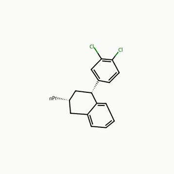 CCC[C@H]1Cc2ccccc2[C@@H](c2ccc(Cl)c(Cl)c2)C1